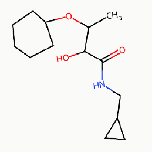 CC(OC1CCCCC1)C(O)C(=O)NCC1CC1